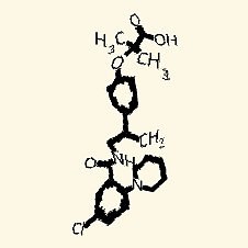 CC(CNC(=O)c1cc(Cl)ccc1N1CCCCC1)c1ccc(OC(C)(C)C(=O)O)cc1